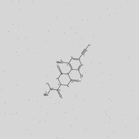 CC#Cc1cc(Cl)c(C2C(=O)CC(C(=O)N(C)C(C)(C)C)CC2=O)c(OC)c1